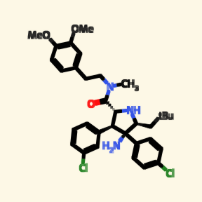 COc1ccc(CCN(C)C(=O)[C@@H]2N[C@@H](CC(C)(C)C)[C@](N)(c3ccc(Cl)cc3)[C@H]2c2cccc(Cl)c2)cc1OC